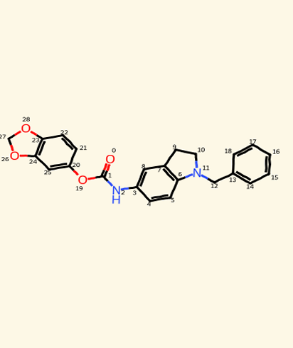 O=C(Nc1ccc2c(c1)CCN2Cc1ccccc1)Oc1ccc2c(c1)OCO2